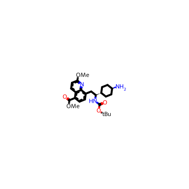 COC(=O)c1ccc(CC(NC(=O)OC(C)(C)C)[C@H]2CC[C@H](N)CC2)c2nc(OC)ccc12